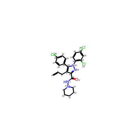 C=CCc1c(C(=O)NN2CCCCC2)nn(-c2ccc(Cl)cc2Cl)c1-c1ccc(Cl)cc1